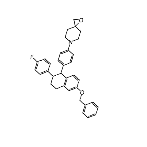 Fc1ccc(C2CCc3cc(OCc4ccccc4)ccc3C2c2ccc(N3CCC4(CC3)CO4)cc2)cc1